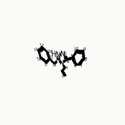 C=CCN1C(c2ccccc2)=NNN1Cc1ccccc1